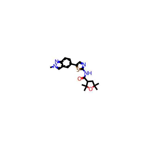 Cn1cc2cc(-c3cnc(NC(=O)C4CC(C)(C)OC4(C)C)s3)ccc2n1